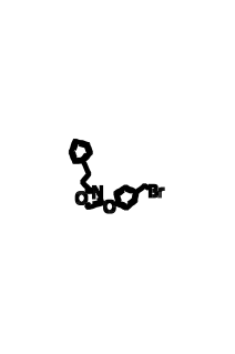 BrCc1ccc(Oc2coc(CCc3ccccc3)n2)cc1